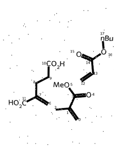 C=C(C)C(=O)OC.C=C(CCC(=O)O)C(=O)O.C=CC(=O)OCCCC